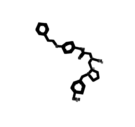 CN(CC(=O)Nc1ccc(OCCc2ccccc2)cc1)C[C@H]1CCCN1Cc1ccc(C(=O)O)cc1